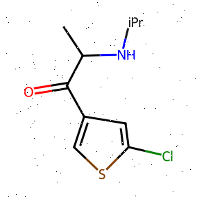 CC(C)NC(C)C(=O)c1csc(Cl)c1